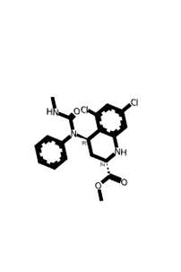 CNC(=O)N(c1ccccc1)[C@@H]1C[C@@H](C(=O)OC)Nc2cc(Cl)cc(Cl)c21